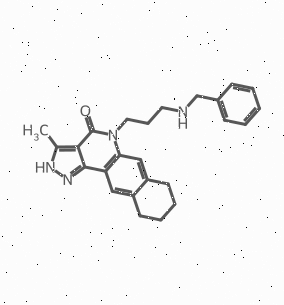 Cc1[nH]nc2c1c(=O)n(CCCNCc1ccccc1)c1cc3c(cc21)CCCC3